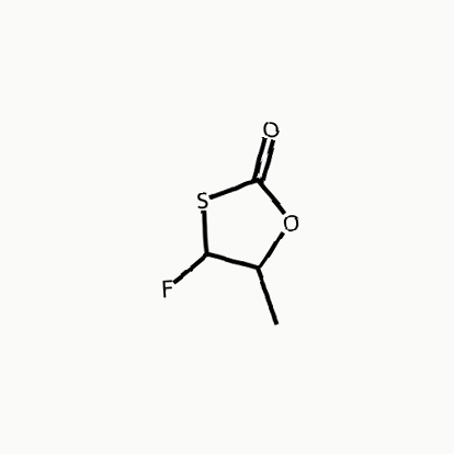 CC1OC(=O)SC1F